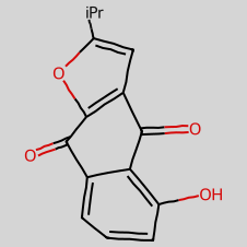 CC(C)c1cc2c(o1)C(=O)c1cccc(O)c1C2=O